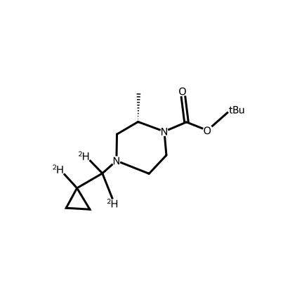 [2H]C1(C([2H])([2H])N2CCN(C(=O)OC(C)(C)C)[C@@H](C)C2)CC1